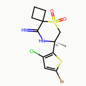 C[C@@]1(c2sc(Br)cc2Cl)CS(=O)(=O)C2(CCC2)C(=N)N1